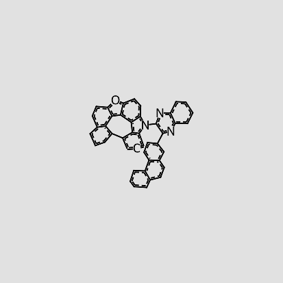 c1ccc2c(c1)ccc1cc(-c3nc4ccccc4nc3-n3c4cccc5c4c4c6c(ccc43)oc3ccc4cccc-5c4c36)ccc12